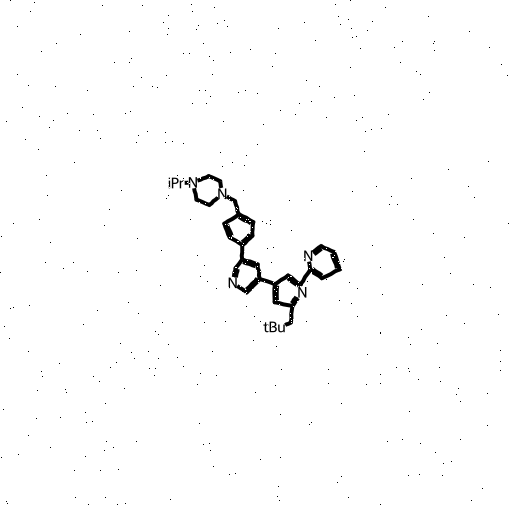 CC(C)N1CCN(Cc2ccc(-c3cncc(-c4cc(CC(C)(C)C)nc(-c5ccccn5)c4)c3)cc2)CC1